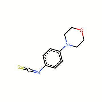 S=C=Nc1ccc(N2CCOCC2)cc1